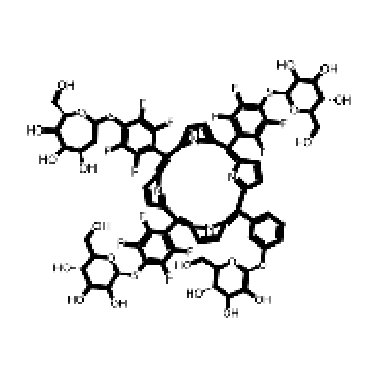 OCC1O[C@@H](Oc2cccc(-c3c4nc(c(-c5c(F)c(F)c(S[C@@H]6OC(CO)[C@@H](O)C(O)C6O)c(F)c5F)c5ccc([nH]5)c(-c5c(F)c(F)c(SC6C[C@@H](O)C(O)C(O)[C@@H](CO)O6)c(F)c5F)c5nc(c(-c6c(F)c(F)c(S[C@@H]7OC(CO)[C@@H](O)C(O)C7O)c(F)c6F)c6ccc3[nH]6)C=C5)C=C4)c2)C(O)C(O)[C@@H]1O